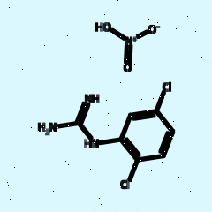 N=C(N)Nc1cc(Cl)ccc1Cl.O=[N+]([O-])O